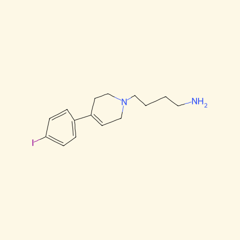 NCCCCN1CC=C(c2ccc(I)cc2)CC1